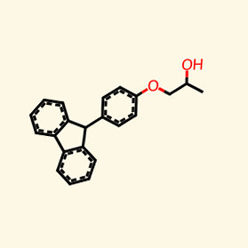 CC(O)COc1ccc(C2c3ccccc3-c3ccccc32)cc1